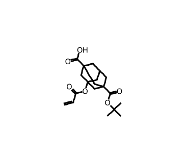 C=CC(=O)OC12CC3CC(C(=O)O)(C1)CC(C(=O)OC(C)(C)C)(C3)C2